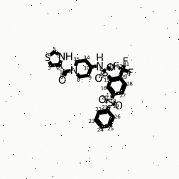 O=C([C@@H]1CSCN1)N1CCC(NS(=O)(=O)c2cc(S(=O)(=O)c3ccccc3)ccc2C(F)(F)F)CC1